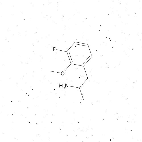 COc1c(F)cccc1CC(C)N